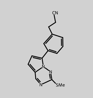 CSc1ncc2ccc(-c3cccc(CCC#N)c3)n2n1